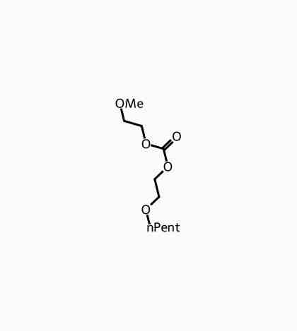 CCCCCOCCOC(=O)OCCOC